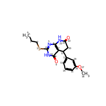 CCCSc1nc2c(c(=O)[nH]1)C(c1cccc(OC)c1)CC(=O)N2